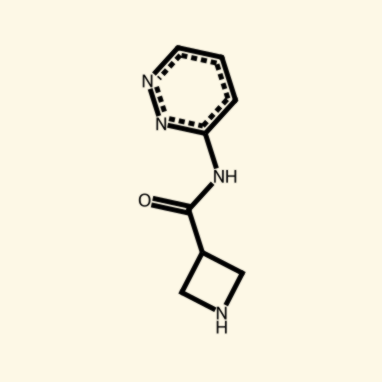 O=C(Nc1cccnn1)C1CNC1